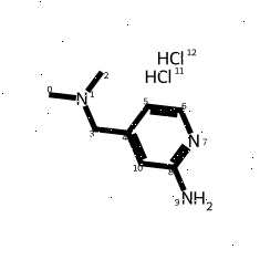 CN(C)Cc1ccnc(N)c1.Cl.Cl